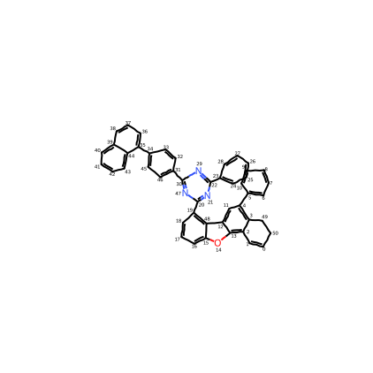 C1=Cc2c(c(-c3ccccc3)cc3c2oc2cccc(-c4nc(-c5ccccc5)nc(-c5ccc(-c6cccc7ccccc67)cc5)n4)c23)CC1